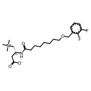 C[N+](C)(C)C[C@@H](CC(=O)[O-])NC(=O)CCCCCCCOCc1cccc(F)c1F